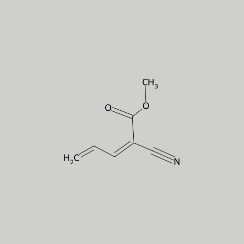 C=CC=C(C#N)C(=O)OC